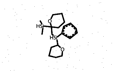 C[SiH](C)C1(C[SiH](c2ccccc2)C2CCCCO2)CCCCO1